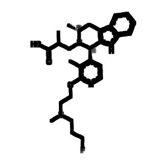 Cc1c([C@@H]2c3[nH]c4ccccc4c3C[C@@H](C)N2CC(C)C(=O)O)ccnc1OCCN(C)CCCF